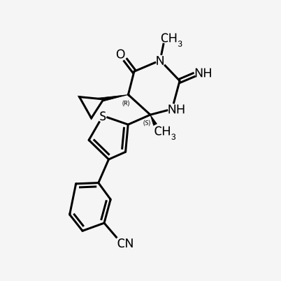 CN1C(=N)N[C@](C)(c2cc(-c3cccc(C#N)c3)cs2)[C@@H](C2CC2)C1=O